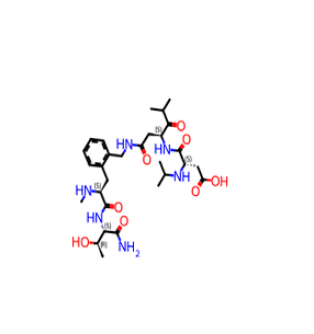 CN[C@@H](Cc1ccccc1CNC(=O)C[C@H](NC(=O)[C@H](CC(=O)O)NC(C)C)C(=O)C(C)C)C(=O)N[C@H](C(N)=O)[C@@H](C)O